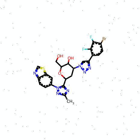 Cc1nc(C2CC(n3cc(-c4ccc(Br)c(F)c4F)nn3)C(O)C(CO)O2)n(-c2ccc3ncsc3c2)n1